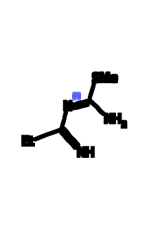 CCC(=N)/N=C(\N)SC